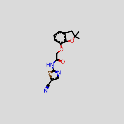 CC1(C)Cc2cccc(OCC(=O)Nc3ncc(C#N)s3)c2O1